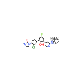 CC(=O)NCC1(C)C2CCC1CN(c1cc(-c3cc(F)cc(-c4ccc(-n5ccn(C)c5=O)c(Cl)c4)c3O)ccn1)C2